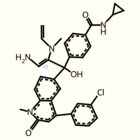 C=CN(C)/C(=C\N)C(O)(c1ccc(C(=O)NC2CC2)cc1)c1ccc2c(c1)c(-c1cccc(Cl)c1)cc(=O)n2C